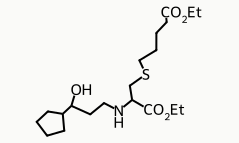 CCOC(=O)CCCCSCC(NCCC(O)C1CCCC1)C(=O)OCC